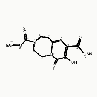 COC(=O)c1nc2n(c(=O)c1O)CCN(C(=O)OC(C)(C)C)CC2